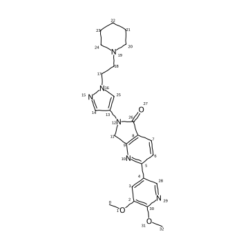 COc1cc(-c2ccc3c(n2)CN(c2cnn(CCN4CCCCC4)c2)C3=O)cnc1OC